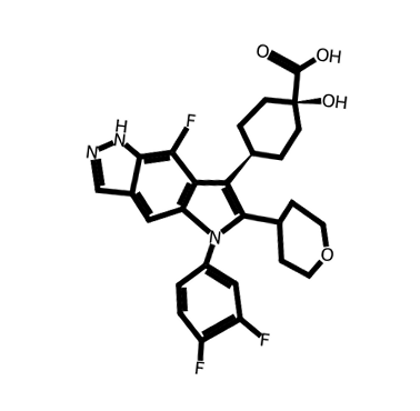 O=C(O)[C@]1(O)CC[C@@H](c2c(C3CCOCC3)n(-c3ccc(F)c(F)c3)c3cc4cn[nH]c4c(F)c32)CC1